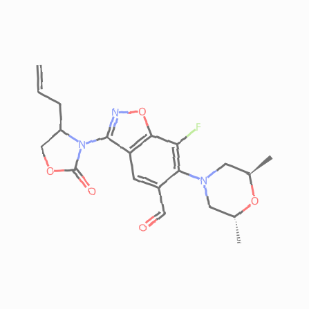 C=CCC1COC(=O)N1c1noc2c(F)c(N3C[C@@H](C)O[C@H](C)C3)c(C=O)cc12